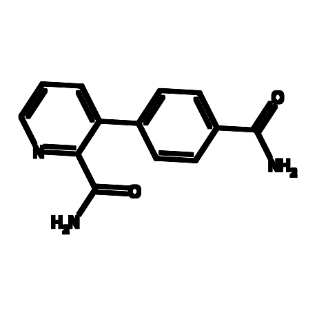 NC(=O)c1ccc(-c2cccnc2C(N)=O)cc1